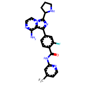 Nc1nccn2c(C3CCCN3)nc(-c3ccc(C(=O)Nc4cc(C(F)(F)F)ccn4)c(F)c3)c12